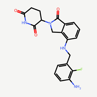 Nc1cccc(CNc2cccc3c2CN(C2CCC(=O)NC2=O)C3=O)c1F